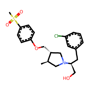 C[C@@H]1CN([C@H](CO)Cc2cccc(Cl)c2)C[C@H]1COc1ccc(S(C)(=O)=O)cc1